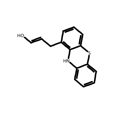 OC=CCc1cccc2c1Nc1ccccc1S2